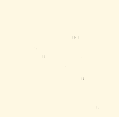 Cl.Fc1cccc(F)c1C1CC(c2csc(N3CC4(CNC4)C3)n2)=NO1